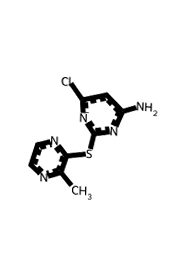 Cc1nccnc1Sc1nc(N)cc(Cl)n1